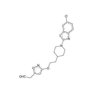 O=CCc1cc(OCCC2CCN(c3nc4ccc(Cl)cc4s3)CC2)no1